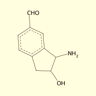 NC1c2cc(C=O)ccc2CC1O